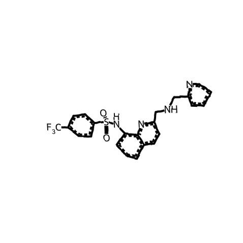 O=S(=O)(Nc1cccc2ccc(CNCc3ccccn3)nc12)c1ccc(C(F)(F)F)cc1